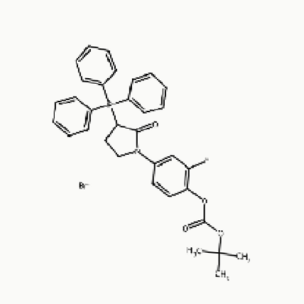 CC(C)(C)OC(=O)Oc1ccc(N2CCC([P+](c3ccccc3)(c3ccccc3)c3ccccc3)C2=O)cc1F.[Br-]